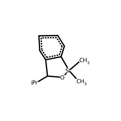 CC(C)C1O[Si](C)(C)c2ccccc21